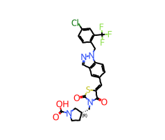 O=C(O)N1CC[C@@H](CN2C(=O)SC(=Cc3ccc4c(cnn4Cc4ccc(Cl)cc4C(F)(F)F)c3)C2=O)C1